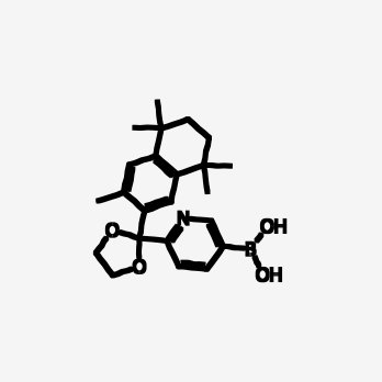 Cc1cc2c(cc1C1(c3ccc(B(O)O)cn3)OCCO1)C(C)(C)CCC2(C)C